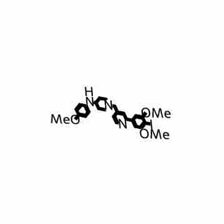 COc1ccc(NC2CCN(Cc3ccnc(-c4cc(OC)c(I)c(OC)c4)c3)CC2)cc1